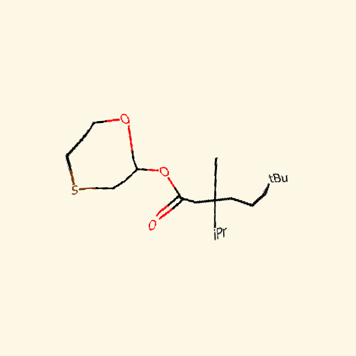 CC(C)C(C)(CC(C)(C)C)C(=O)OC1CSCCO1